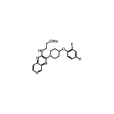 COCCNc1nc2ccncc2nc1N1CCC(Oc2ccc(F)cc2F)CC1